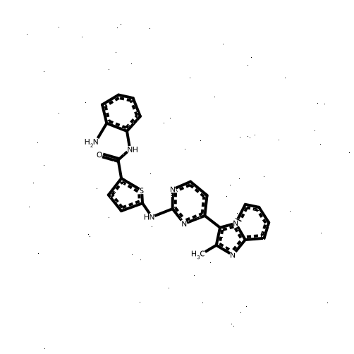 Cc1nc2ccccn2c1-c1ccnc(Nc2ccc(C(=O)Nc3ccccc3N)s2)n1